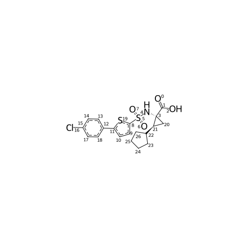 O=C(O)[C@@]1(NS(=O)(=O)c2ccc(-c3ccc(Cl)cc3)s2)C[C@H]1C1CCCC1